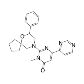 Cn1c(N2CC(c3ccccc3)OC3(CCCC3)C2)nc(-c2ccncn2)cc1=O